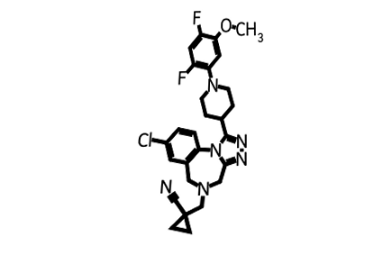 COc1cc(N2CCC(c3nnc4n3-c3ccc(Cl)cc3CN(CC3(C#N)CC3)C4)CC2)c(F)cc1F